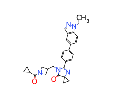 CCn1ncc2cc(-c3ccc(C4=NC5(CC5)C(=O)N4CC4CN(C(=O)C5CC5)C4)cc3)ccc21